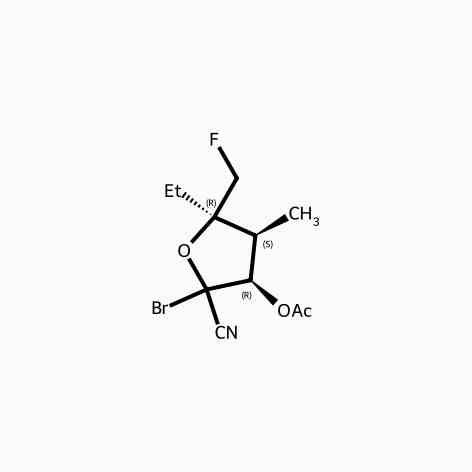 CC[C@@]1(CF)OC(Br)(C#N)[C@H](OC(C)=O)[C@@H]1C